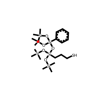 C[Si](C)(C)O[Si](CCCS)(O[Si](C)(C)C)O[Si](O[Si](C)(C)C)(O[Si](C)(C)C)c1ccccc1